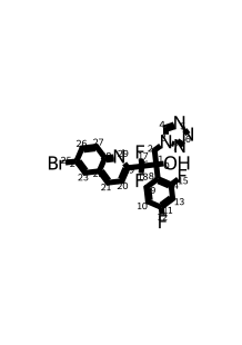 OC(Cn1cnnn1)(c1ccc(F)cc1F)C(F)(F)c1ccc2cc(Br)ccc2n1